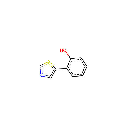 Oc1ccccc1-c1cncs1